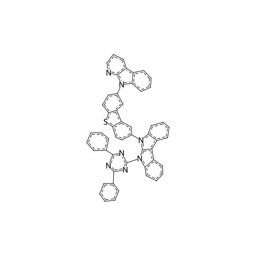 c1ccc(-c2nc(-c3ccccc3)nc(-n3c4ccccc4c4c5ccccc5n(-c5ccc6sc7ccc(-n8c9ccccc9c9cccnc98)cc7c6c5)c43)n2)cc1